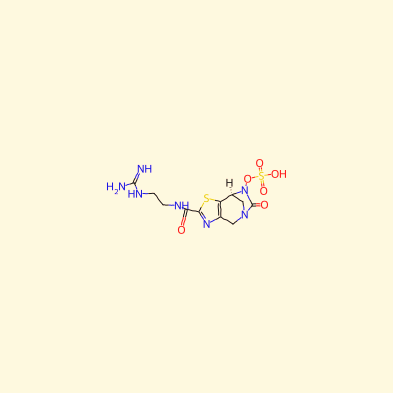 N=C(N)NCCNC(=O)c1nc2c(s1)[C@@H]1CN(C2)C(=O)N1OS(=O)(=O)O